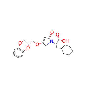 O=C(O)C(CC1CCCCC1)N1CC(OC[C@H]2COc3ccccc3O2)=CC1=O